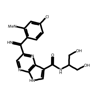 CNc1cc(Cl)ccc1C(=N)c1cnc2[nH]cc(C(=O)NC(CO)CO)c2n1